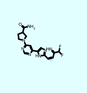 N=C(/C=C\c1ncc(-c2cc(N3CCC(C(N)=O)C3)ncn2)[nH]1)C(F)F